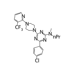 CCCN(C)c1nc(-c2ccc(Cl)cc2)nc(N2CCN(c3ncccc3C(F)(F)F)CC2)n1